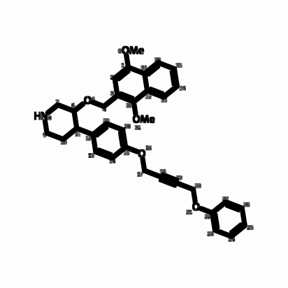 COc1cc(COC2CNCCC2c2ccc(OCC#CCOc3ccccc3)cc2)c(OC)c2ccccc12